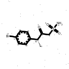 C[C@@H](C(=O)CS(N)(=O)=O)c1ccc(Br)cc1